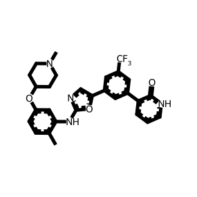 Cc1ccc(OC2CCN(C)CC2)cc1Nc1ncc(-c2cc(-c3ccc[nH]c3=O)cc(C(F)(F)F)c2)o1